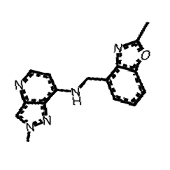 Cc1nc2c(CNc3ccnc4cn(C)nc34)cccc2o1